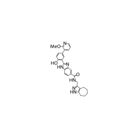 COc1ncccc1-c1ccc(O)c(-c2nc3cc(C(=O)NCc4n[nH]c5c4CCCCC5)ccc3[nH]2)c1